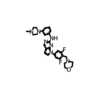 CN1CCN(c2cccc(Nc3ncc4ccn(-c5cc(F)c(CN6CCOCC6)c(F)c5)c4n3)c2)CC1